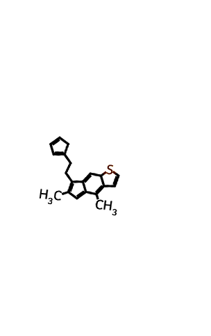 CC1=C(CCC2=CC=CC2)C2=CC3SC=CC3=C(C)C2=C1